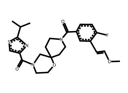 CO/C=C/c1cc(C(=O)N2CCC3(CC2)CN(C(=O)c2csc(C(C)C)n2)CCO3)ccc1F